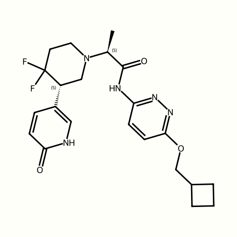 C[C@@H](C(=O)Nc1ccc(OCC2CCC2)nn1)N1CCC(F)(F)[C@@H](c2ccc(=O)[nH]c2)C1